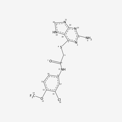 Nc1nc(SCC(=O)Nc2ccc(OC(F)(F)F)c(Cl)c2)c2[nH]cnc2n1